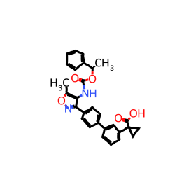 Cc1onc(-c2ccc(-c3cccc(C4(C(=O)O)CC4)c3)cc2)c1NC(=O)O[C@H](C)c1ccccc1